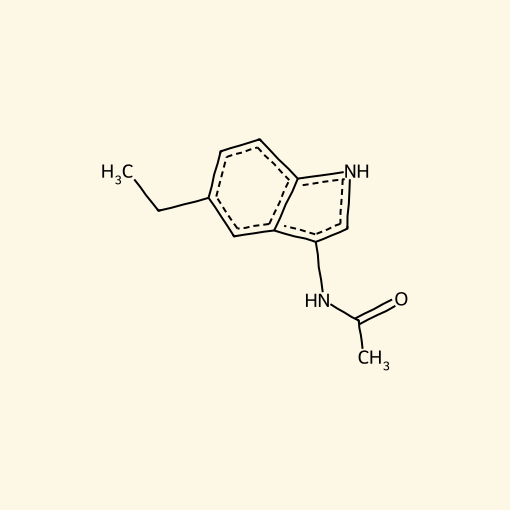 CCc1ccc2[nH]cc(NC(C)=O)c2c1